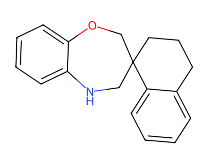 c1ccc2c(c1)CCCC21CNc2ccccc2OC1